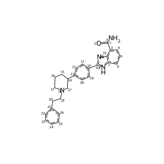 NC(=O)c1cccc2[nH]c(-c3ccc(C4CCCN(CCc5ccccc5)C4)cc3)nc12